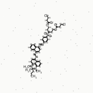 CCCC1(C)N(C)c2cccc3c(/N=N/c4ccc(/N=N/c5ccc(S(=O)(=O)N(CCOC(=O)CCCl)CCOC(=O)CCCl)cc5)c5ccccc45)ccc(c23)N1C